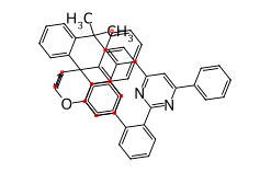 CC1(C)c2ccccc2C2(c3ccccc3Oc3cc(-c4ccccc4-c4nc(-c5ccccc5)cc(-c5ccccc5-c5ccccc5)n4)ccc32)c2ccccc21